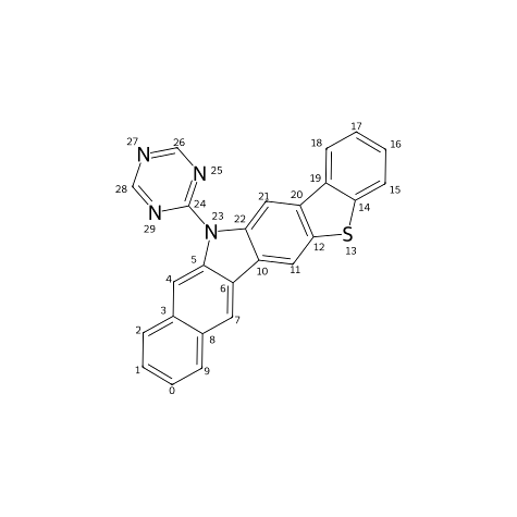 c1ccc2cc3c(cc2c1)c1cc2sc4ccccc4c2cc1n3-c1ncncn1